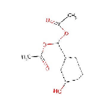 CC(=O)OC(OC(C)=O)C1CCCC(O)C1